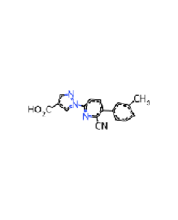 Cc1cccc(-c2ccc(-n3cc(C(=O)O)cn3)nc2C#N)c1